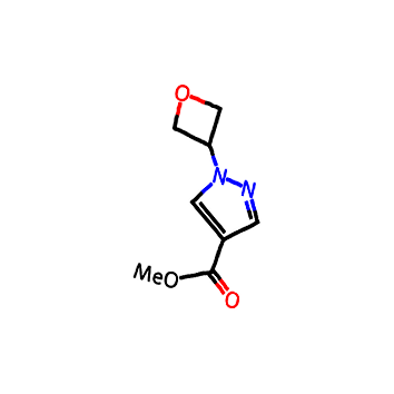 COC(=O)c1cnn(C2COC2)c1